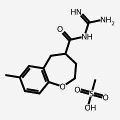 CS(=O)(=O)O.Cc1ccc2c(c1)CC(C(=O)NC(=N)N)CCO2